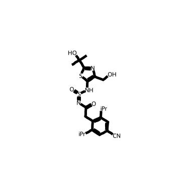 CC(C)c1cc(C#N)cc(C(C)C)c1CC(=O)/N=[SH](=O)\Nc1sc(C(C)(C)O)nc1CO